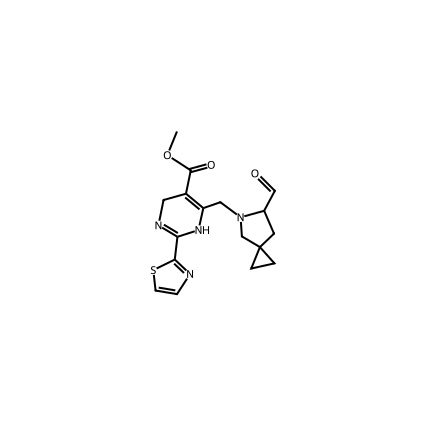 COC(=O)C1=C(CN2CC3(CC3)CC2C=O)NC(c2nccs2)=NC1